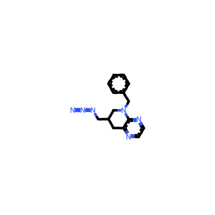 [N-]=[N+]=NCC1Cc2nccnc2N(Cc2ccccc2)C1